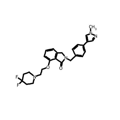 Cn1cc(-c2ccc(CN3Cc4cccc(OCCN5CCC(F)(F)CC5)c4C3=O)cc2)cn1